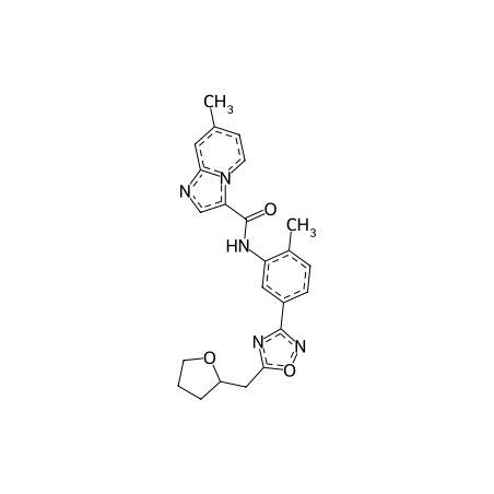 Cc1ccn2c(C(=O)Nc3cc(-c4noc(CC5CCCO5)n4)ccc3C)cnc2c1